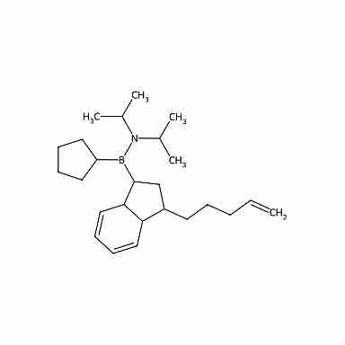 C=CCCCC1CC(B(C2CCCC2)N(C(C)C)C(C)C)C2C=CC=CC12